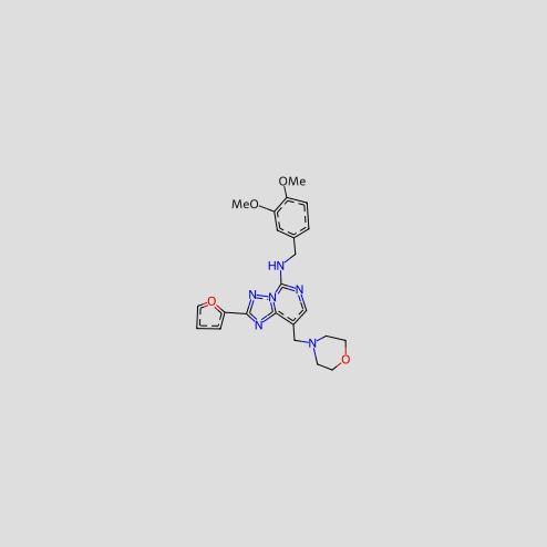 COc1ccc(CNc2ncc(CN3CCOCC3)c3nc(-c4ccco4)nn23)cc1OC